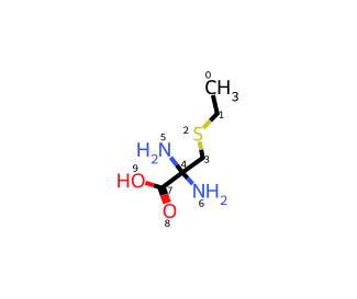 CCSCC(N)(N)C(=O)O